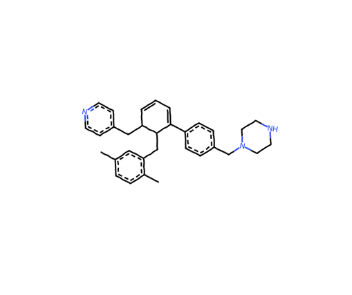 Cc1ccc(C)c(CC2C(c3ccc(CN4CCNCC4)cc3)=CC=CC2Cc2ccncc2)c1